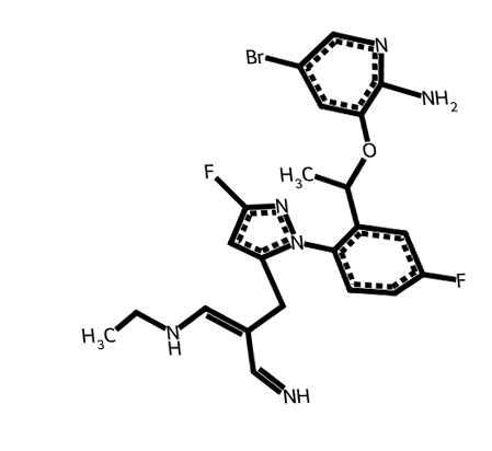 CCN/C=C(\C=N)Cc1cc(F)nn1-c1ccc(F)cc1C(C)Oc1cc(Br)cnc1N